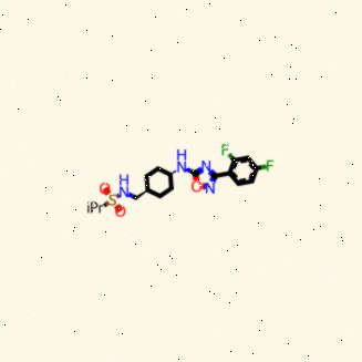 CC(C)S(=O)(=O)NC[C@H]1CC[C@H](Nc2nc(-c3ccc(F)cc3F)no2)CC1